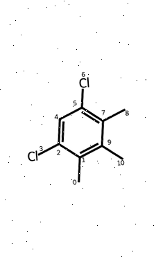 Cc1c(Cl)cc(Cl)c(C)c1C